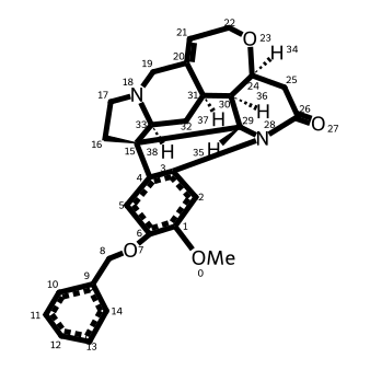 COc1cc2c(cc1OCc1ccccc1)[C@@]13CCN4CC5=CCO[C@H]6CC(=O)N2[C@H]1[C@H]6[C@H]5C[C@H]43